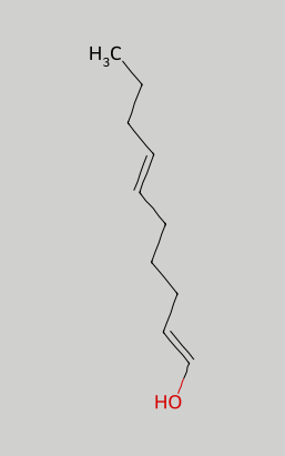 CCCC=CCCCC=CO